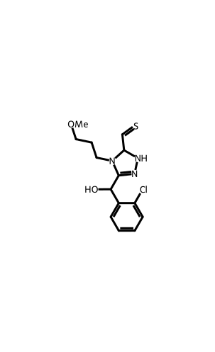 COCCCN1C(C(O)c2ccccc2Cl)=NNC1C=S